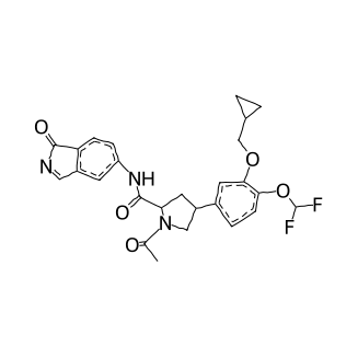 CC(=O)N1CC(c2ccc(OC(F)F)c(OCC3CC3)c2)CC1C(=O)Nc1ccc2c(c1)C=NC2=O